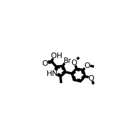 COc1ccc(-c2c(C)[nH]c(C(=O)O)c2Br)c(OC)c1OC